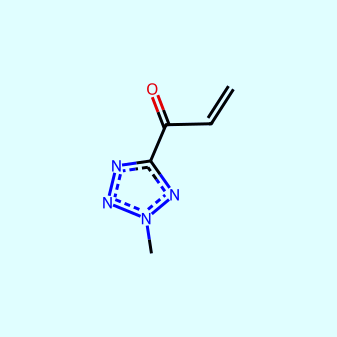 C=CC(=O)c1nnn(C)n1